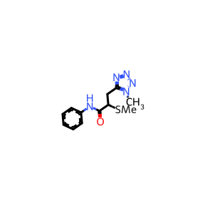 CSC(Cc1nnnn1C)C(=O)Nc1ccccc1